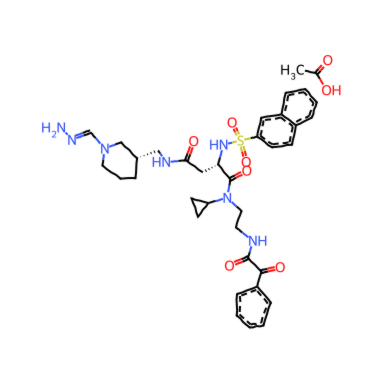 CC(=O)O.NN=CN1CCC[C@@H](CNC(=O)C[C@H](NS(=O)(=O)c2ccc3ccccc3c2)C(=O)N(CCNC(=O)C(=O)c2ccccc2)C2CC2)C1